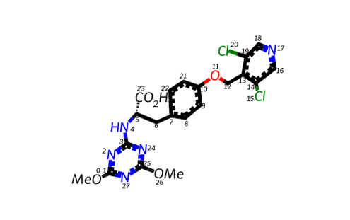 COc1nc(N[C@@H](Cc2ccc(OCc3c(Cl)cncc3Cl)cc2)C(=O)O)nc(OC)n1